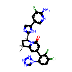 C[C@@H]1C[C@@H](c2ncc(-c3cnc(N)c(F)c3)[nH]2)n2c1cc(-c1c(-n3cnnn3)ccc(Cl)c1F)cc2=O